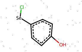 Oc1ccc([Se]Cl)cc1